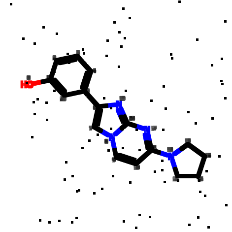 Oc1cccc(-c2cn3ccc(N4CCCC4)nc3n2)c1